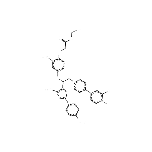 CCOC(=O)COc1ccc(SC(Cc2ccc(-c3ccc(F)c(Cl)c3)cc2)c2sc(-c3ccc(C)cc3)nc2C)cc1C